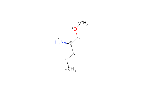 CCC[C@@H](N)COC